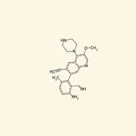 C#Cc1cc2c(N3CCNCC3)c(OC)cnc2cc1-c1c(C)ccc(N)c1C=N